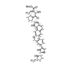 COC(=O)N[C@H](C(=O)N1[C@@H](C)CC[C@H]1c1nc2ccc3cc4c(cc3c2[nH]1)OCc1cc(-c2cnc([C@@H]3CC[C@H](C)N3)[nH]2)ccc1-4)C(C)C